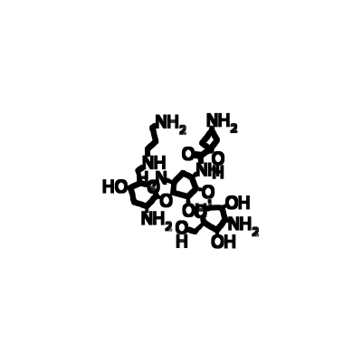 NCCCNC[C@H]1O[C@H](O[C@H]2[C@H](O)[C@@H](O[C@H]3O[C@H](CO)[C@@H](O)[C@H](N)[C@H]3O)[C@H](NC(=O)C3(O)CC(N)C3)C[C@@H]2N)[C@H](N)C[C@@H]1O